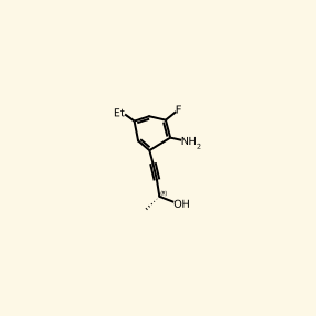 CCc1cc(F)c(N)c(C#C[C@@H](C)O)c1